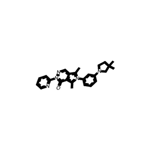 Cc1c2cnn(-c3ccccn3)c(=O)c2c(C)n1-c1cccc(N2CCC(C)(C)C2)c1